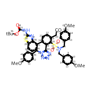 COc1ccc(CN(Cc2ccc(OC)cc2)S(=O)(=O)c2c(CC(=O)O)ccc(-c3cccc4sc(NC(=O)OC(C)(C)C)nc34)c2-c2nnnn2Cc2ccc(OC)cc2)cc1